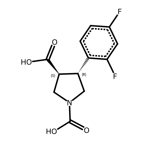 O=C(O)[C@@H]1CN(C(=O)O)C[C@H]1c1ccc(F)cc1F